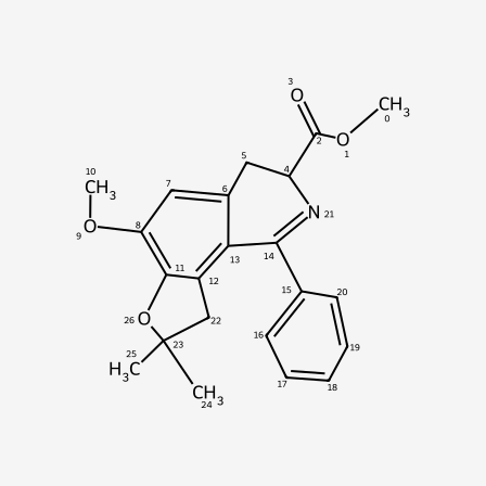 COC(=O)C1Cc2cc(OC)c3c(c2C(c2ccccc2)=N1)CC(C)(C)O3